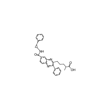 CC(CCCc1nc2cc(C(=O)NC3C[C@H]3c3ccccc3)ccc2nc1-c1ccccc1)C(=O)O